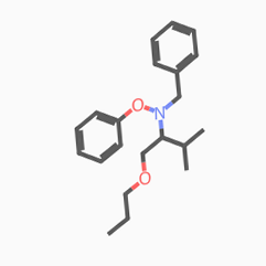 CCCOCC(C(C)C)N(Cc1ccccc1)Oc1ccccc1